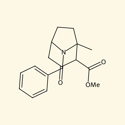 COC(=O)C1C(=O)CC2CCC1(C)N2Cc1ccccc1